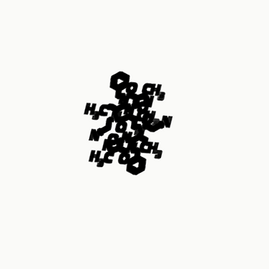 CCC(c1nc2onc(C)c2c(=O)n1Cc1ccccc1)N(CCC#N)C(=O)CC(C)CN(C(=O)CC#N)C(CC)c1nc2onc(C)c2c(=O)n1Cc1ccccc1